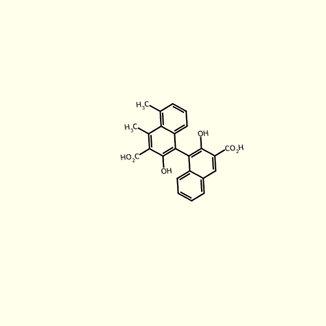 Cc1cccc2c(-c3c(O)c(C(=O)O)cc4ccccc34)c(O)c(C(=O)O)c(C)c12